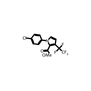 COC(=O)c1c(C(F)(F)C(F)(F)F)ccn1-c1ccc(Cl)cc1